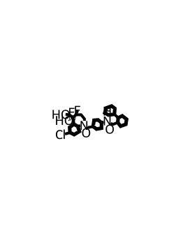 O=C(Nc1ccc(C(=O)N2CCC(F)(F)[C@](O)(CO)c3cc(Cl)ccc32)cc1)c1ccccc1-c1ccccc1